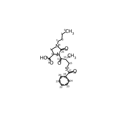 CCCCN1CC(C(=O)O)N(C(=O)[C@H](C)CSC(=O)c2ccccc2)C1=O